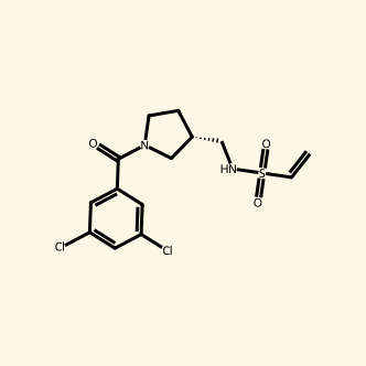 C=CS(=O)(=O)NC[C@H]1CCN(C(=O)c2cc(Cl)cc(Cl)c2)C1